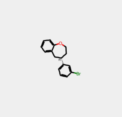 Brc1cccc([C@H]2CCOc3ccccc3C2)c1